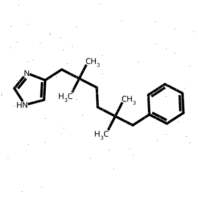 CC(C)(CCC(C)(C)Cc1c[nH]cn1)Cc1ccccc1